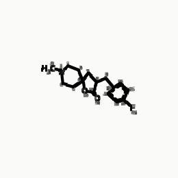 CN1CCC2(CC1)CC(Cc1ccc(F)cc1)C(=O)O2